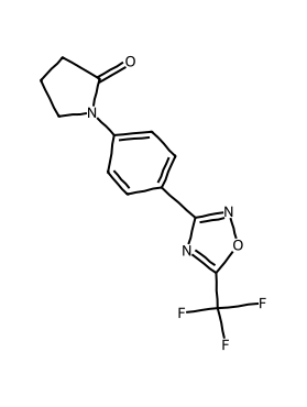 O=C1CCCN1c1ccc(-c2noc(C(F)(F)F)n2)cc1